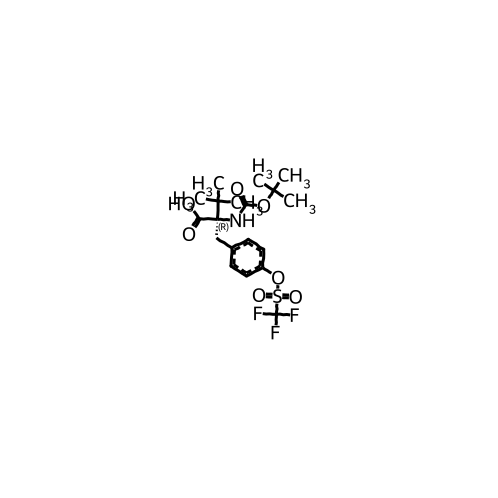 CC(C)(C)OC(=O)N[C@@](Cc1ccc(OS(=O)(=O)C(F)(F)F)cc1)(C(=O)O)C(C)(C)C